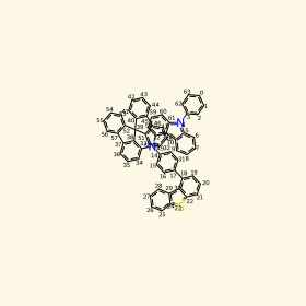 c1ccc(-n2c3ccccc3c3c(N(c4ccc(-c5cccc6sc7ccccc7c56)cc4)c4cccc5c4C4(c6ccccc6-c6ccccc64)c4ccccc4-5)cccc32)cc1